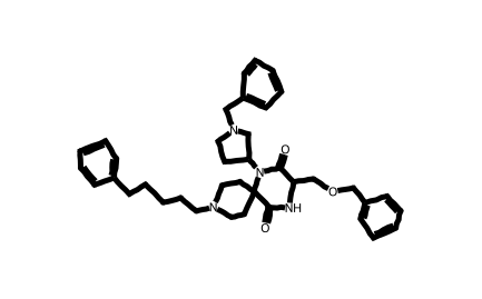 O=C1C(COCc2ccccc2)NC(=O)C2(CCN(CCCCCc3ccccc3)CC2)N1C1CCN(Cc2ccccc2)C1